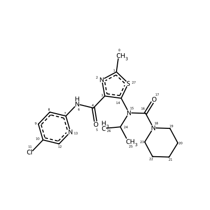 Cc1nc(C(=O)Nc2ccc(Cl)cn2)c(N(C(=O)N2CCCCC2)C(C)C)s1